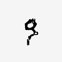 N#COc1cccnc1